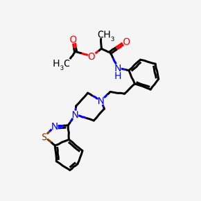 CC(=O)OC(C)C(=O)Nc1ccccc1CCN1CCN(c2nsc3ccccc23)CC1